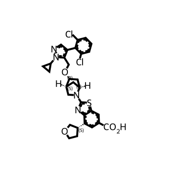 O=C(O)c1cc([C@@H]2CCOC2)c2nc(N3C[C@@H]4C[C@H]3C[C@H]4OCc3c(-c4c(Cl)cccc4Cl)cnn3C3CC3)sc2c1